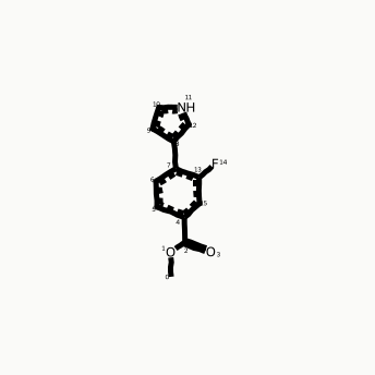 COC(=O)c1ccc(-c2cc[nH]c2)c(F)c1